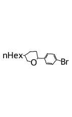 CCCCCCC1CCC(c2ccc(Br)cc2)OC1